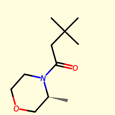 C[C@@H]1COCCN1C(=O)CC(C)(C)C